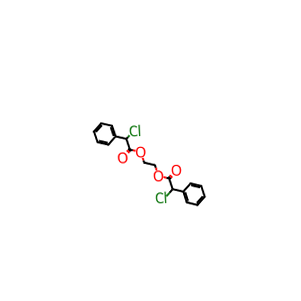 O=C(OCCOC(=O)C(Cl)c1ccccc1)C(Cl)c1ccccc1